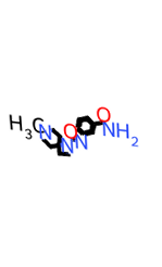 CN1CCC2(CC1)CCN2c1nc2cc(C(N)=O)ccc2o1